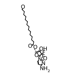 Nc1ccn([C@@H]2O[C@H](COC(=O)CCCCCCCCCCCCCC=O)[C@@H](O)C2(F)F)c(=O)n1